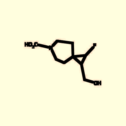 O=C(O)N1CCC2(CC1)C(F)C2CO